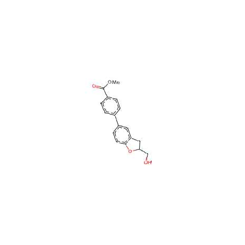 COC(=O)c1ccc(-c2ccc3c(c2)CC(CO)O3)cc1